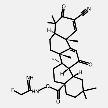 CC1(C)CC[C@]2(C(=O)ONC(=N)CF)CC[C@]3(C)[C@H](C(=O)C=C4[C@@]5(C)C=C(C#N)C(=O)C(C)(C)[C@@H]5CC[C@]43C)[C@@H]2C1